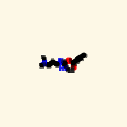 CC#CC(=O)O/C(=N/CCCN(C)C)NCC